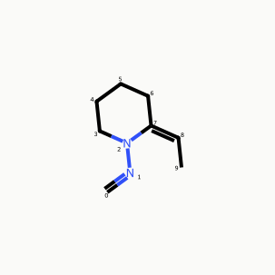 C=NN1CCCC/C1=C/C